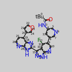 CC(C)(C)C(=O)Nc1cncc(-c2cnc3[nH]nc(-c4nc5c(-c6ccoc6)ccnc5[nH]4)c3c2F)c1